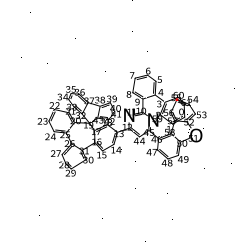 c1ccc(-c2ccccc2-c2nc(-c3ccc4c(c3)C3(c5ccccc5-c5ccccc5-4)c4ccccc4-c4ccccc43)cc(-c3cccc4oc5ccccc5c34)n2)cc1